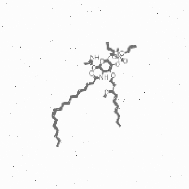 C=CCOP(=O)(OCC=C)O[C@H]1[C@H](OCC[C@@H](CCCCCCC)OC)[C@@H](NC(=O)CCCCCCCCC/C=C\CCCCCC)C(OC(C)=N)O[C@@H]1COC